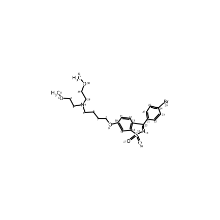 COCCN(CCCCOc1ccc2c(c1)S(=O)(=O)N=C2c1ccc(Br)cc1)CCOC